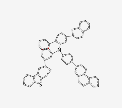 c1ccc(-c2ccc(-c3ccc4ccccc4c3)cc2N(c2ccc(-c3ccc4c(ccc5ccccc54)c3)cc2)c2cccc(-c3ccc4sc5ccccc5c4c3)c2)cc1